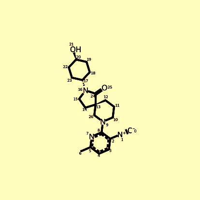 [C-]#[N+]c1ccc(C)nc1N1CCC[C@]2(CCN([C@H]3CC[C@H](O)CC3)C2=O)C1